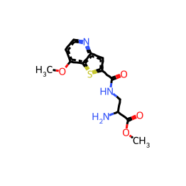 COC(=O)C(N)CNC(=O)c1cc2nccc(OC)c2s1